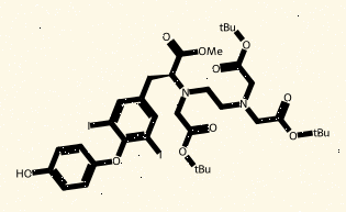 COC(=O)[C@H](Cc1cc(I)c(Oc2ccc(O)cc2)c(I)c1)N(CCN(CC(=O)OC(C)(C)C)CC(=O)OC(C)(C)C)CC(=O)OC(C)(C)C